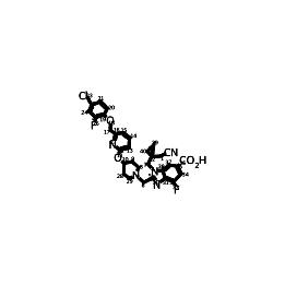 N#CCC1(Cn2c(CN3CCC(Oc4cccc(COc5ccc(Cl)cc5F)n4)CC3)nc3c(F)cc(C(=O)O)cc32)CC1